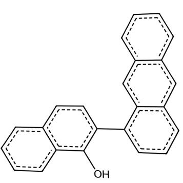 Oc1c(-c2cccc3cc4ccccc4cc23)ccc2ccccc12